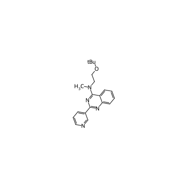 CN(CCOC(C)(C)C)c1nc(-c2cccnc2)nc2ccccc12